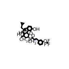 CCC1CC(N(C)C(=O)/C=C/c2cccc(OC(F)(F)F)c2)C2Oc3c(O)ccc4c3[C@@]23CCN(CC2CC2)[C@H](C4)[C@]13O